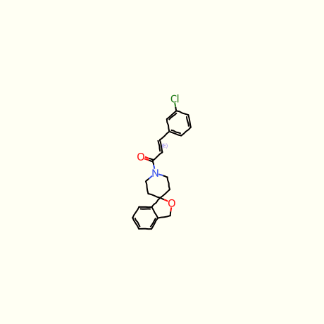 O=C(/C=C/c1cccc(Cl)c1)N1CCC2(CC1)OCc1ccccc12